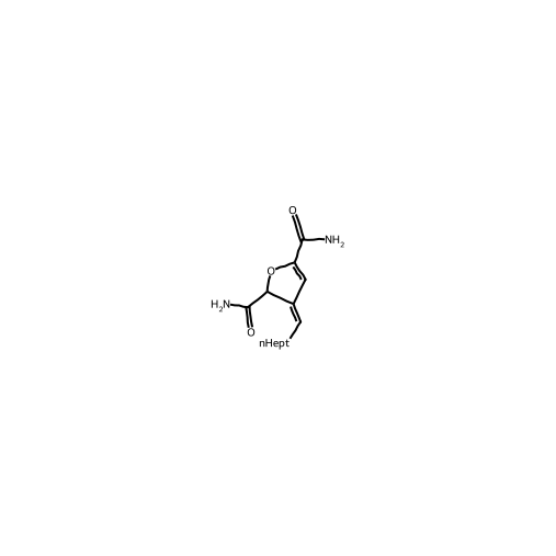 CCCCCCCC=C1C=C(C(N)=O)OC1C(N)=O